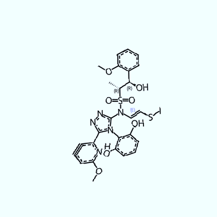 COc1cc#cc(-c2nnc(N(/C=C/SI)S(=O)(=O)[C@H](C)[C@H](O)c3ccccc3OC)n2-c2c(O)cccc2O)n1